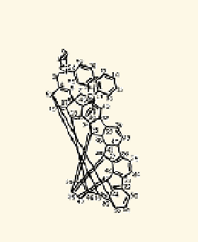 C=C[SiH](CC1=CC2(C[SiH](C=C)c3ccccc3)c3c4c5c6c7c(c8ccc9c%10c%11c%12c%13c(c3=C3C%14C=%13C%13C(C=CC9C%11%13)C%14C=CC32)c5c%12c7c8%10)C=CC6C14)c1ccccc1